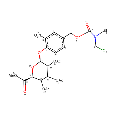 CCN(CCl)C(=O)OCc1ccc(O[C@@H]2O[C@H](C(=O)OC)C(OC(C)=O)C(OC(C)=O)C2OC(C)=O)c([N+](=O)[O-])c1